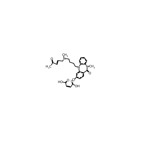 CC(=O)/C=C/CN(C)CCCCN1c2cc(Cl)ccc2C(=O)N(C)c2ccccc21.O=C(O)/C=C\C(=O)O